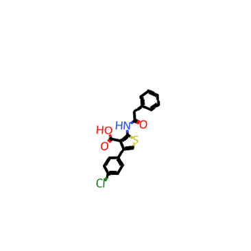 O=C(Cc1ccccc1)Nc1scc(-c2ccc(Cl)cc2)c1C(=O)O